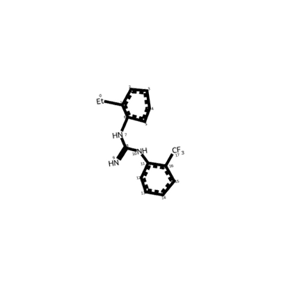 CCc1ccccc1NC(=N)Nc1ccccc1C(F)(F)F